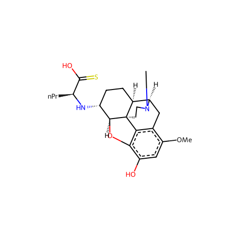 CCC[C@H](N[C@@H]1CC[C@H]2[C@H]3Cc4c(OC)cc(O)c5c4[C@@]2(CCN3C)[C@H]1O5)C(O)=S